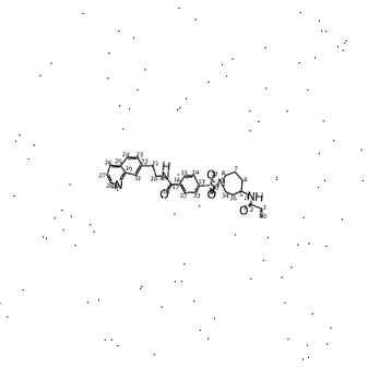 C=CC(=O)NC1CCCN(S(=O)(=O)c2ccc(C(=O)NCCc3ccc4cccnc4c3)cc2)CC1